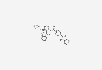 C=CCNC(=O)[C@]1(c2ccccc2)CC[C@@H](C(=O)N2CCC(NC(=O)c3ccccc3)CC2)c2ccccc21